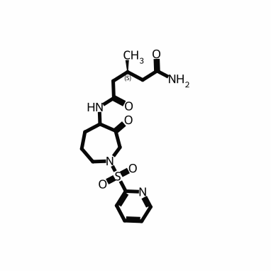 C[C@@H](CC(N)=O)CC(=O)NC1CCCN(S(=O)(=O)c2ccccn2)CC1=O